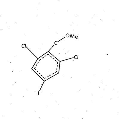 COCc1c(Cl)cc(I)cc1Cl